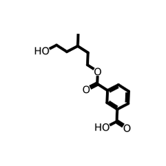 CC(CCO)CCOC(=O)c1cccc(C(=O)O)c1